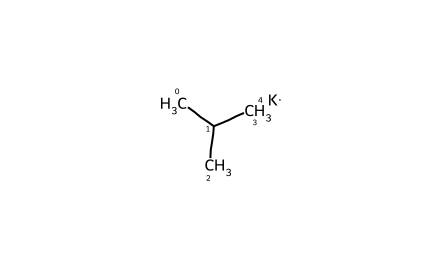 CC(C)C.[K]